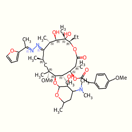 CC[C@H]1OC(=O)[C@H](C)[C@@H](OC(=O)Cc2ccc(OC)cc2)[C@H](C)[C@@H](OC2OC(C)CC(N(C)C)C2O)[C@](C)(OC)C[C@@H](C)/C(=N\N=C(/C)c2ccco2)[C@H](C)[C@@H](O)[C@]1(C)O